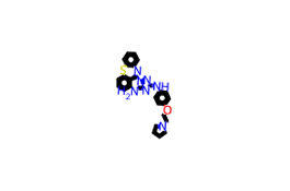 Nc1nc(Nc2ccc(OCCN3CCCC3)cc2)nn1C1=Nc2ccccc2Sc2ccccc21